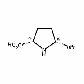 CCC[C@H]1CC[C@@H](C(=O)O)N1